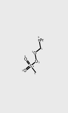 CCCCOOS(C)(=O)=O